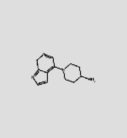 NC1CCN(C2=C3C=CN=C3CN=C2)CC1